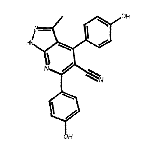 Cc1n[nH]c2nc(-c3ccc(O)cc3)c(C#N)c(-c3ccc(O)cc3)c12